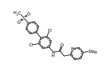 CSc1ccc(CC(=O)Nc2cc(Cl)c(-c3ccc(S(C)(=O)=O)cc3)c(Cl)c2)nc1